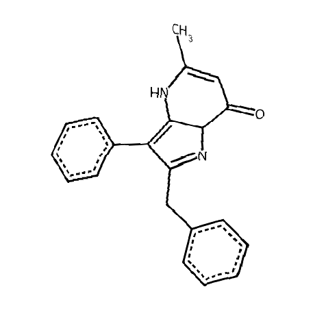 CC1=CC(=O)C2N=C(Cc3ccccc3)C(c3ccccc3)=C2N1